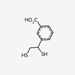 O=C(O)c1cccc(C(S)CS)c1